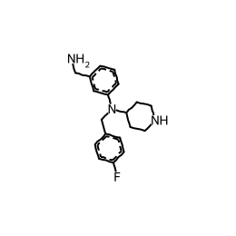 NCc1cccc(N(Cc2ccc(F)cc2)C2CCNCC2)c1